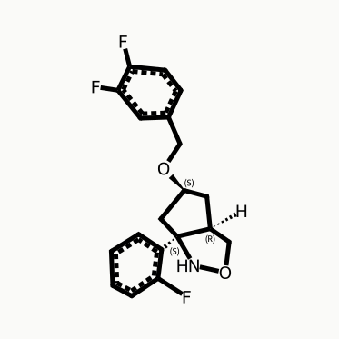 Fc1ccc(CO[C@H]2C[C@H]3CON[C@@]3(c3ccccc3F)C2)cc1F